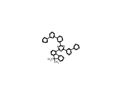 CC1(C)c2ccccc2-c2c(-c3nc(-c4cccc(-c5ccccc5)c4)nc(-c4cccc(-c5cccc(-c6ccccc6)c5)c4)n3)cccc21